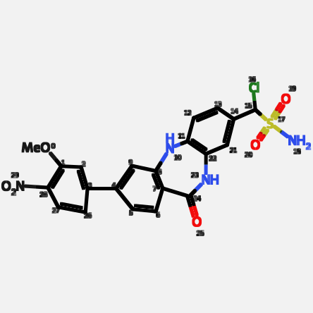 COc1cc(-c2ccc3c(c2)Nc2ccc(C(Cl)S(N)(=O)=O)cc2NC3=O)ccc1[N+](=O)[O-]